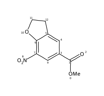 COC(=O)c1cc2c(c([N+](=O)[O-])c1)OCC2